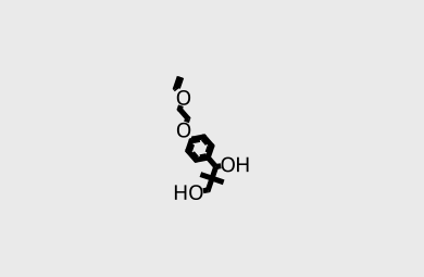 C=COCCOc1ccc(C(O)C(C)(C)CO)cc1